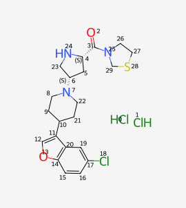 Cl.Cl.O=C([C@@H]1C[C@H](N2CCC(c3coc4ccc(Cl)cc34)CC2)CN1)N1CCSC1